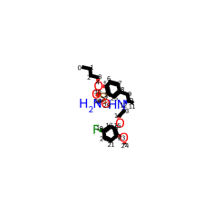 CCCCOc1ccc(CC(C)NCCOc2cc(F)ccc2OC)cc1S(N)(=O)=O